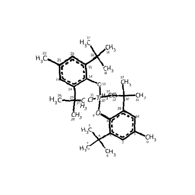 Cc1cc(C(C)(C)C)c([O][Ti]([Cl])([Cl])[O]c2c(C(C)(C)C)cc(C)cc2C(C)(C)C)c(C(C)(C)C)c1